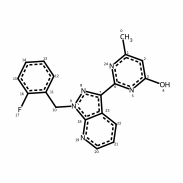 Cc1cc(O)nc(-c2nn(Cc3ccccc3F)c3ncccc23)n1